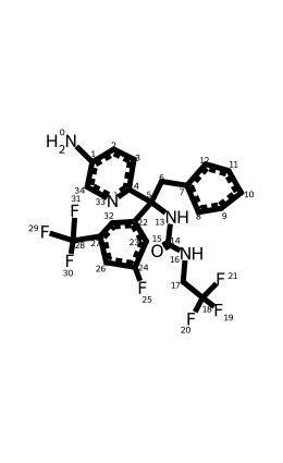 Nc1ccc(C(Cc2ccccc2)(NC(=O)NCC(F)(F)F)c2cc(F)cc(C(F)(F)F)c2)nc1